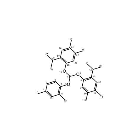 Cc1ccc(OP(Oc2cc(C)c(C)cc2C(C)C)Oc2cc(C)c(C)cc2C(C)C)c(C)c1